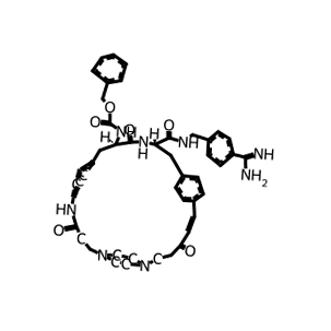 N=C(N)c1ccc(CNC(=O)[C@@H]2Cc3ccc(cc3)/C=C\C(=O)CCN3CCN(CCC(=O)Nc4ccc(cc4)C[C@@H](NC(=O)OCc4ccccc4)C(=O)N2)CC3)cc1